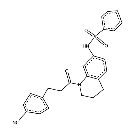 N#Cc1ccc(CCC(=O)N2CCCc3ccc(NS(=O)(=O)c4ccccc4)cc32)cc1